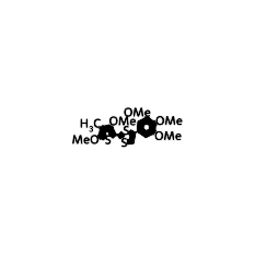 COc1cc([C@@H]2CS[C@@H](c3sc(OC)c(C)c3OC)S2)cc(OC)c1OC